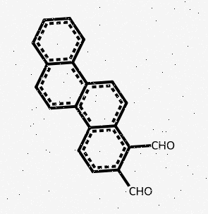 O=Cc1ccc2c(ccc3c4ccccc4ccc23)c1C=O